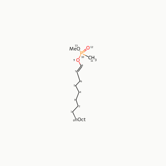 CCCCCCCCCCCCCCC=COP(C)(=O)OC